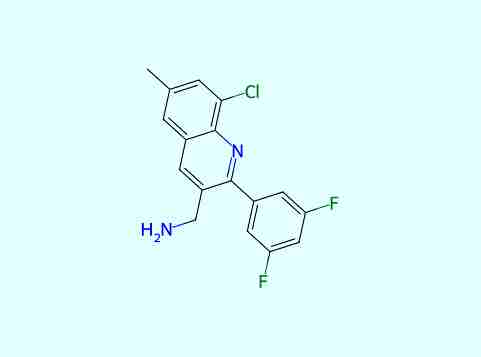 Cc1cc(Cl)c2nc(-c3cc(F)cc(F)c3)c(CN)cc2c1